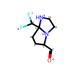 O=CC1CCC2(C(F)F)NCCN12